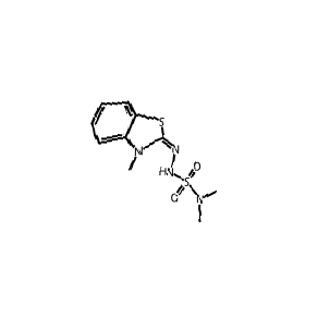 CN(C)S(=O)(=O)NN=c1sc2ccccc2n1C